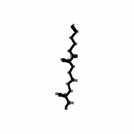 C=CCCCNC(=O)CCOCCC(=O)OC